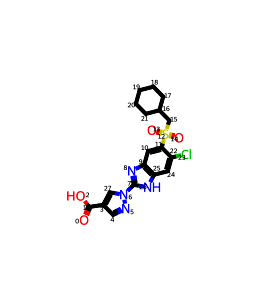 O=C(O)c1cnn(-c2nc3cc(S(=O)(=O)CC4CCCCC4)c(Cl)cc3[nH]2)c1